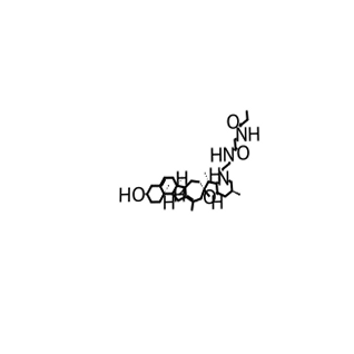 CCC(=O)NCC(=O)NCCN1C[C@@H](C)C[C@H]2O[C@]3(CC[C@@H]4C(=C(C)C3)C[C@H]3[C@H]4CC=C4C[C@@H](O)CC[C@@]43C)[C@H](C)[C@@H]21